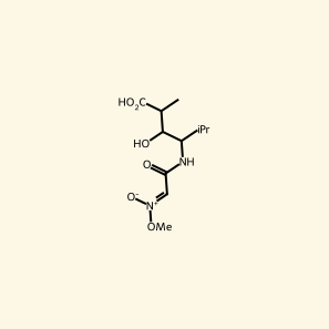 CO/[N+]([O-])=C/C(=O)NC(C(C)C)C(O)C(C)C(=O)O